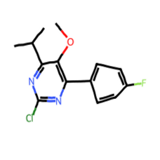 COc1c(-c2ccc(F)cc2)nc(Cl)nc1C(C)C